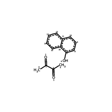 CC(=O)C(C)=O.Oc1cccc2ccccc12